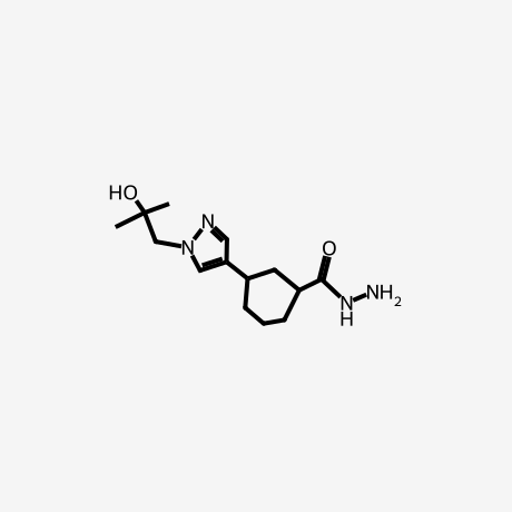 CC(C)(O)Cn1cc(C2CCCC(C(=O)NN)C2)cn1